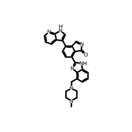 CN1CCN(Cc2cccc3[nH]c(-c4ccc(-c5c[nH]c6ncccc56)c5c4C(=O)N=C5)nc23)CC1